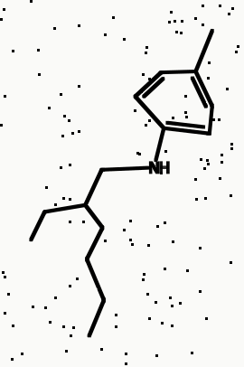 CCCCC(CC)CNc1ccc(C)cc1